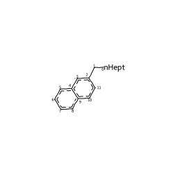 CCCCCCCCc1[c]c2ccccc2cc1